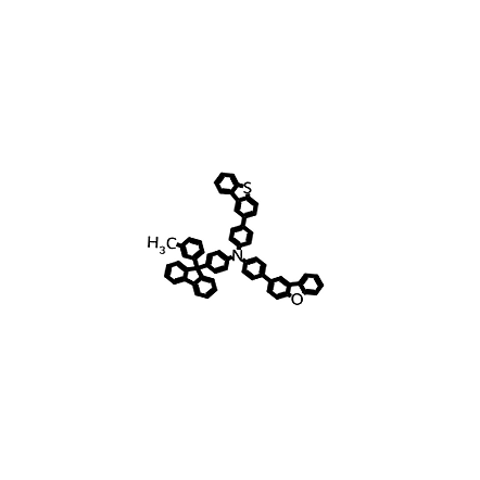 Cc1cccc(C2(c3ccc(N(c4ccc(-c5ccc6oc7ccccc7c6c5)cc4)c4ccc(-c5ccc6sc7ccccc7c6c5)cc4)cc3)c3ccccc3-c3ccccc32)c1